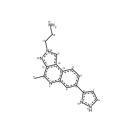 Cc1nc2cc(-c3cc[nH]n3)ccc2c2cn(CCN)nc12